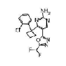 Nc1ncc(-c2nnc(C(F)F)o2)c(C2(c3ccccc3Cl)CCC2)n1